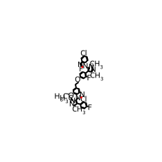 CCOc1cc(CCOc2cc(F)c(-c3c(C)nn(C)c3-n3cnc4cc(Cl)ccc43)c(F)c2)cc2ncn(-c3c(-c4ccc(F)cc4Cl)c(C)nn3C)c12